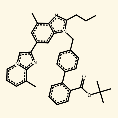 CCCc1nc2c(C)cc(-c3cn4cccc(C)c4n3)cc2n1Cc1ccc(-c2ccccc2C(=O)OC(C)(C)C)cc1